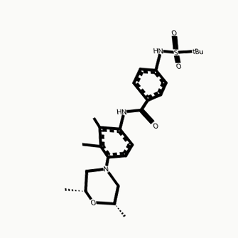 Cc1c(NC(=O)c2ccc(NS(=O)(=O)C(C)(C)C)cc2)ccc(N2C[C@@H](C)O[C@@H](C)C2)c1C